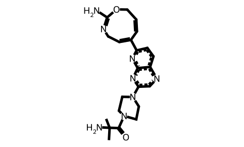 CC(C)(N)C(=O)N1CCN(c2cnc3ccc(C4=C/C/N=C(/N)OC/C=C\4)nc3n2)CC1